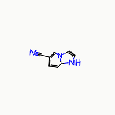 N#CC1=CN2C=CNC2C=C1